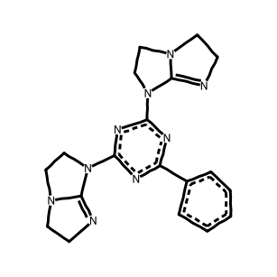 c1ccc(-c2nc(N3CCN4CCN=C43)nc(N3CCN4CCN=C43)n2)cc1